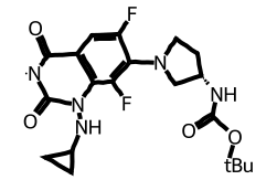 CC(C)(C)OC(=O)N[C@H]1CCN(c2c(F)cc3c(c2F)N(NC2CC2)C(=O)[N]C3=O)C1